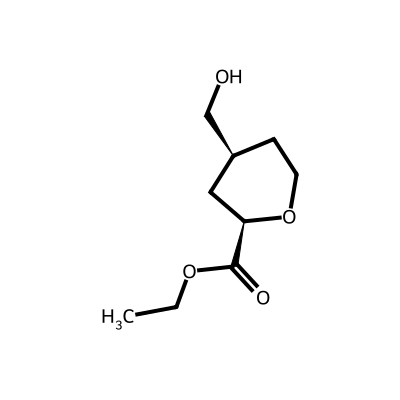 CCOC(=O)[C@H]1C[C@@H](CO)CCO1